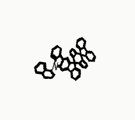 c1ccc2c(c1)-c1ccccc1C21c2ccccc2C2(c3ccccc3-c3cc4c(cc32)c2ccccc2n4-c2cccc3ccccc23)c2ccccc21